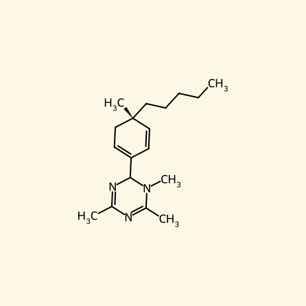 CCCCC[C@]1(C)C=CC(C2N=C(C)N=C(C)N2C)=CC1